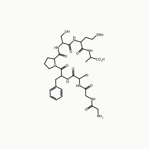 CSCCC(NC(=O)C(CO)NC(=O)C1CCCN1C(=O)C(Cc1ccccc1)NC(=O)C(NC(=O)CNC(=O)CN)C(C)C)C(=O)NC(C)C(=O)O